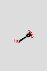 CCCCCCCCO.O=C1OC(=O)c2ccccc21